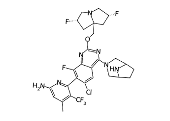 Cc1cc(N)nc(-c2c(Cl)cc3c(N4CC5CCC(C4)N5)nc(OCC45C[C@H](F)CN4C[C@H](F)C5)nc3c2F)c1C(F)(F)F